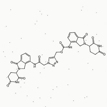 O=C1CCC(N2Cc3c(NC(=O)Cn4cc(COC(=O)Nc5cccc6c5CN(C5CCC(=O)NC5=O)C6=O)nn4)cccc3C2=O)C(=O)N1